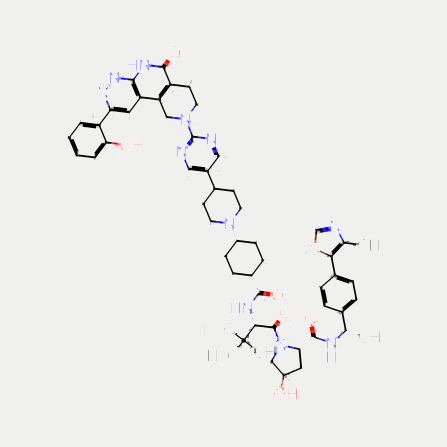 Cc1ncsc1-c1ccc([C@H](C)NC(=O)[C@@H]2C[C@@H](O)CN2C(=O)[C@@H](NC(=O)[C@H]2CC[C@@H](N3CCC(c4cnc(N5CCc6c(c7cc(-c8ccccc8O)nnc7[nH]c6=O)C5)nc4)CC3)CC2)C(C)(C)C)cc1